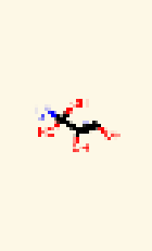 NC(O)(O)/C(O)=C/O